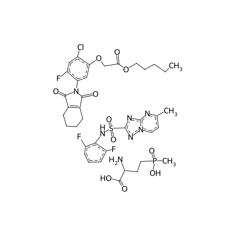 CCCCCOC(=O)COc1cc(N2C(=O)C3=C(CCCC3)C2=O)c(F)cc1Cl.CP(=O)(O)CCC(N)C(=O)O.Cc1ccn2nc(S(=O)(=O)Nc3c(F)cccc3F)nc2n1